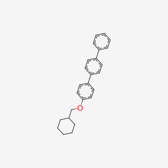 c1ccc(-c2ccc(-c3ccc(OCC4CCCCC4)cc3)cc2)cc1